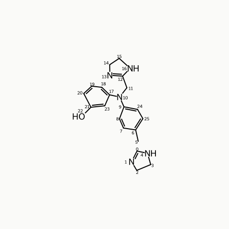 C1=NCCN1.Cc1ccc(N(CC2=NCCN2)c2cccc(O)c2)cc1